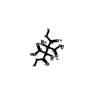 CCC(=O)C(O)(C(=O)O)C(O)(C(=O)O)C(=O)CC